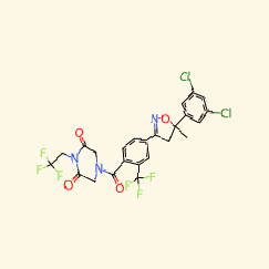 CC1(c2cc(Cl)cc(Cl)c2)CC(c2ccc(C(=O)N3CC(=O)N(CC(F)(F)F)C(=O)C3)c(C(F)(F)F)c2)=NO1